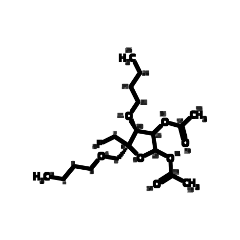 CCCCOC[C@@]1(CF)OC(OC(C)=O)C(OC(C)=O)[C@@H]1OCCCC